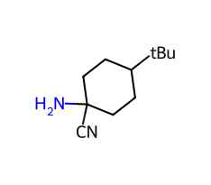 CC(C)(C)C1CCC(N)(C#N)CC1